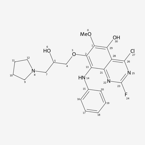 COc1c(OCC(O)CN2CCCC2)c(Nc2ccccc2)c2nc(F)nc(Cl)c2c1O